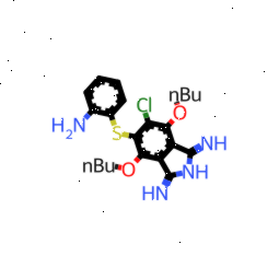 CCCCOc1c(Cl)c(Sc2ccccc2N)c(OCCCC)c2c1C(=N)NC2=N